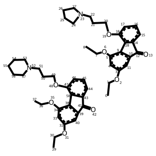 CCOc1cc(OCC)c2c(c1)C(=O)c1cccc(OCCCN3CCCC3)c1-2.CCOc1cc(OCC)c2c(c1)C(=O)c1cccc(OCCCN3CCCCC3)c1-2